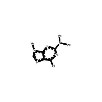 CC(=O)N(C(C)=O)c1nc(Cl)c2ncn(C(C)=O)c2n1